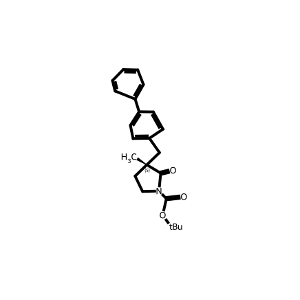 CC(C)(C)OC(=O)N1CC[C@](C)(Cc2ccc(-c3ccccc3)cc2)C1=O